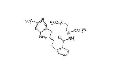 CCOC(=O)CC[C@H](NC(=O)c1ccccc1CCCCc1cnc(N)nc1N)C(=O)OCC